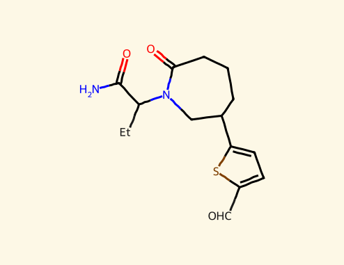 CCC(C(N)=O)N1CC(c2ccc(C=O)s2)CCCC1=O